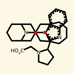 O=C(O)CN1CCCC1c1nc2ccccc2n1C1CC2CCCC(C1)N2C1CC2CCCCC(C2)C1